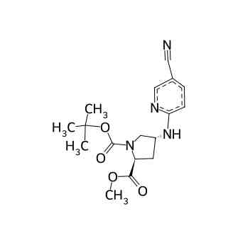 COC(=O)[C@@H]1C[C@@H](Nc2ccc(C#N)cn2)CN1C(=O)OC(C)(C)C